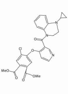 COC(=O)c1cc(Cl)c(Oc2ccncc2C(=O)N2CCN(C3CC3)c3ccccc32)cc1C(=O)OC